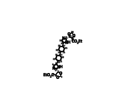 CCOC(=O)[C@@H]1OCO[C@H]1c1ncc(-c2ccc(-c3ccc(-c4cnc([C@@H]5OCO[C@H]5C(=O)OCC)[nH]4)cc3)cc2)[nH]1